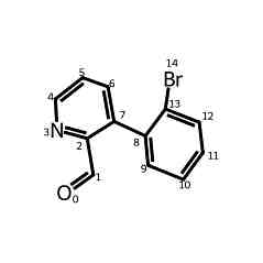 O=Cc1ncccc1-c1ccccc1Br